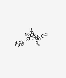 Cc1oc(-c2ccc(Cl)cc2)nc1CSc1nc(N)c(C#N)c(-c2ccc(CC[C@H]3COC(C)(C)O3)cc2)c1C#N